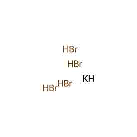 Br.Br.Br.Br.[KH]